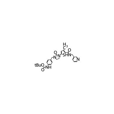 Cc1cc(N2CCN(Cc3ccc(NC(=O)OC(C)(C)C)cc3)C2=O)sc1C(=O)NCc1cccnc1